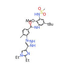 CCc1nc(C2=CN(c3cc(C(=O)Nc4cc(C(C)(C)C)cc(NS(C)(=O)=O)c4OC)ccc3C)NN2)cn1CC